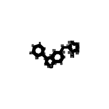 c1ccc(-c2coc3ccc(Cc4nnn[nH]4)cc23)cc1